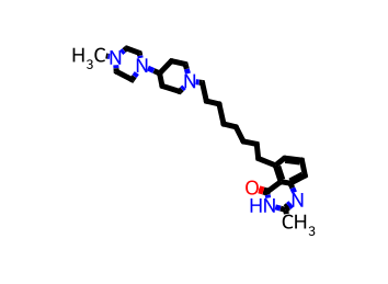 Cc1nc2cccc(CCCCCCCCN3CCC(N4CCN(C)CC4)CC3)c2c(=O)[nH]1